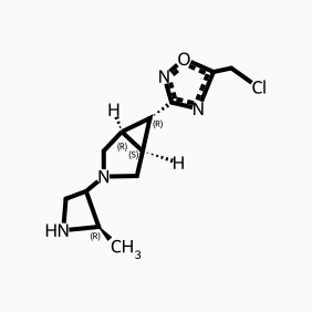 C[C@H]1NCC1N1C[C@@H]2[C@H](C1)[C@H]2c1noc(CCl)n1